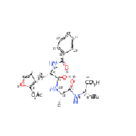 CC(=O)Oc1ccco1.CCCC[C@H](NC(=O)[C@H](C)NC(=O)[C@@H](NC(=O)c1ccccc1)C(C)C)C(=O)O